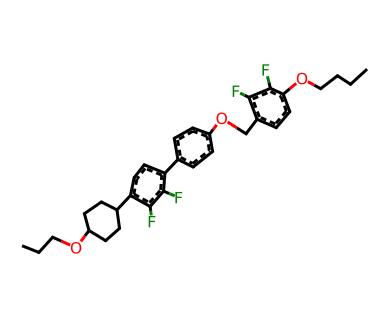 CCCCOc1ccc(COc2ccc(-c3ccc(C4CCC(OCCC)CC4)c(F)c3F)cc2)c(F)c1F